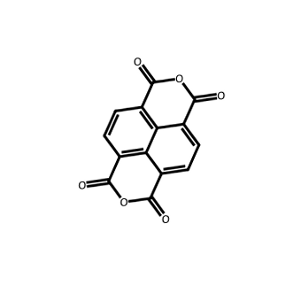 O=C1OC(=O)c2ccc3c4c(ccc1c24)C(=O)OC3=O